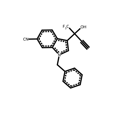 [C-]#[N+]c1ccc2c(C(O)(C#C)C(F)(F)F)cn(Cc3ccccc3)c2c1